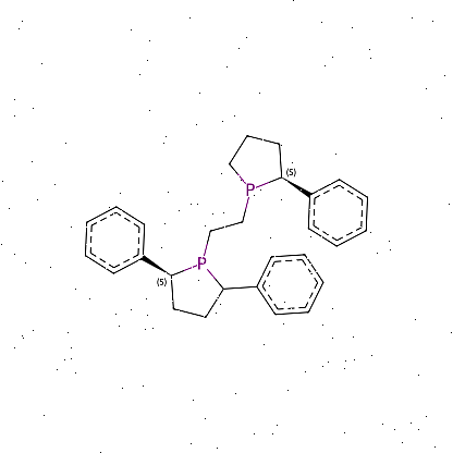 c1ccc(C2CC[C@@H](c3ccccc3)P2CCP2CCC[C@H]2c2ccccc2)cc1